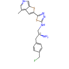 Cc1cncc2sc(-c3nnc(NC[C@@H](N)Cc4ccc(CF)cc4)s3)cc12